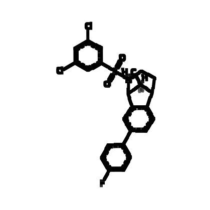 C[C@H]1C2CCN(S(=O)(=O)c3cc(Cl)cc(Cl)c3)C1c1cc(-c3ccc(F)cc3)ccc12